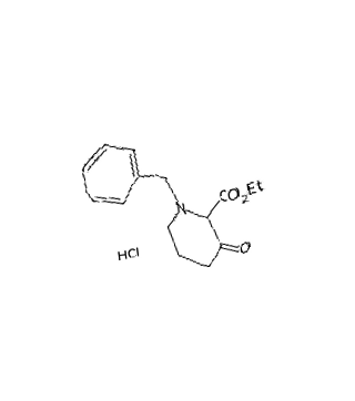 CCOC(=O)C1C(=O)CCCN1Cc1ccccc1.Cl